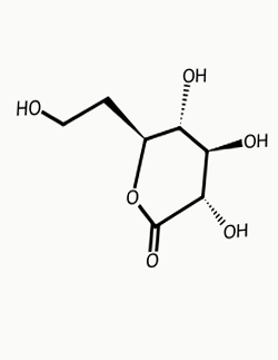 O=C1O[C@@H](CCO)[C@H](O)[C@@H](O)[C@@H]1O